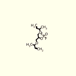 C=CC(C)OCC(COC(C)C=C)OP(=O)(F)F